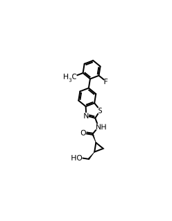 Cc1cccc(F)c1-c1ccc2nc(NC(=O)[C@H]3C[C@H]3CO)sc2c1